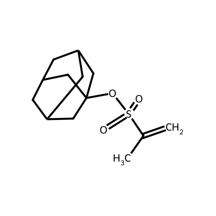 C=C(C)S(=O)(=O)OC12CC3CC(CC(C3)C1)C2